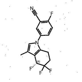 Cc1cn(-c2ccc(F)c(C#N)c2)c2c1[C@@H](F)C(F)(F)CC2